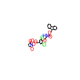 O=C(NCCOc1c(Cl)cc(COC(=O)ON2C(=O)CCC2=O)cc1Cl)OCC1c2ccccc2-c2ccccc21